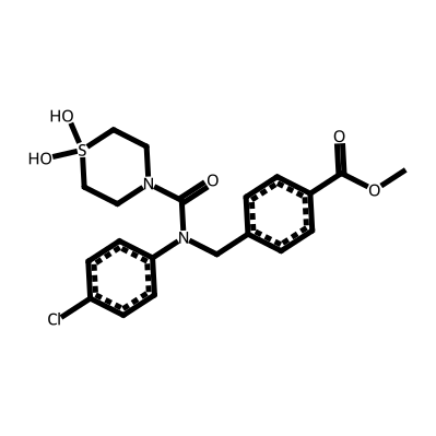 COC(=O)c1ccc(CN(C(=O)N2CCS(O)(O)CC2)c2ccc(Cl)cc2)cc1